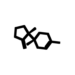 C=C1CCC[C@]1(C)[C@@]1(C)CC=C(C)CC1